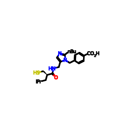 CCCCc1ncc(CNC(=O)[C@@H](CS)CC(C)C)n1Cc1ccc(C(=O)O)cc1